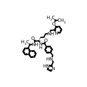 CC(C)Oc1cccnc1CNCCC[C@H](NC(=O)c1ccc(CNCc2ncc[nH]2)cc1)C(=O)N[C@@H](C)c1cccc2ccccc12